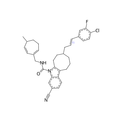 CC1C=CC(CNC(=O)n2c3c(c4ccc(C#N)cc42)CCCC(C/C=C/c2ccc(Cl)c(F)c2)CC3)=CCC1